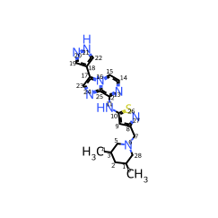 CC1CC(C)CN(Cc2cc(Nc3nccn4c(-c5cn[nH]c5)cnc34)sn2)C1